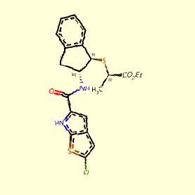 CCOC(=O)[C@@H](C)S[C@@H]1c2ccccc2C[C@H]1NC(=O)c1cc2cc(Cl)sc2[nH]1